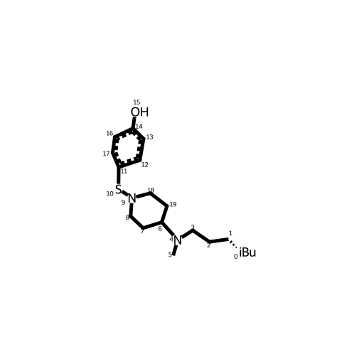 CC[C@@H](C)CCCN(C)C1CCN(Sc2ccc(O)cc2)CC1